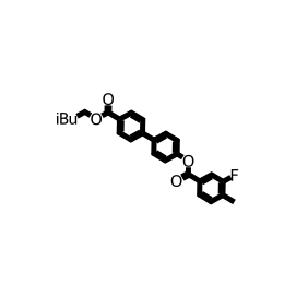 CCC(C)COC(=O)c1ccc(-c2ccc(OC(=O)c3ccc(C)c(F)c3)cc2)cc1